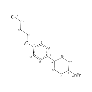 CCCC1CCC(c2ccc(OCCCCl)cc2)CC1